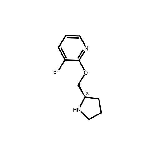 Brc1cccnc1OC[C@H]1CCCN1